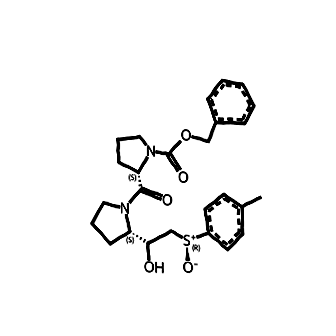 Cc1ccc([S@@+]([O-])CC(O)[C@@H]2CCCN2C(=O)[C@@H]2CCCN2C(=O)OCc2ccccc2)cc1